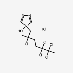 CC(Cl)(CCC(Cl)(Cl)C(C)(Cl)Cl)C[N+]1(O)C=NN=C1.Cl